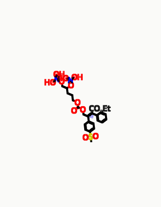 CCOC(=O)/C(=C(\COC(=O)OCCCC(CON(O)O)ON(O)O)c1ccc(S(C)(=O)=O)cc1)c1ccccc1